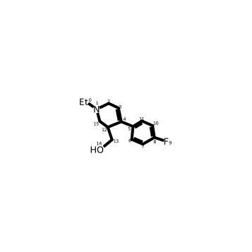 CCN1CC=C(c2ccc(F)cc2)C(CO)C1